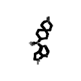 CN(c1ncnc2[nH]ccc12)C1CCC2(CCNCC2)CC1